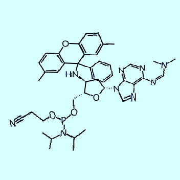 Cc1ccc2c(c1)C(N[C@H]1C[C@H](n3cnc4c(/N=C\N(C)C)ncnc43)O[C@@H]1COP(OCCC#N)N(C(C)C)C(C)C)(c1ccccc1)c1cc(C)ccc1O2